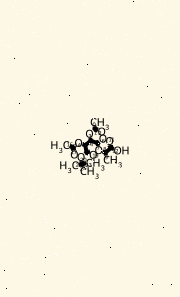 CC(=O)OC(C(=O)OC(C)C(=O)O)C(OC(C)=O)C(=O)OC(C)(C)C